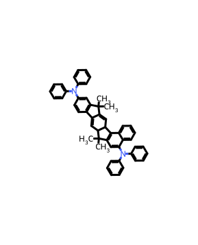 CC1(C)C2=CC3c4c(cc(N(c5ccccc5)c5ccccc5)c5ccccc45)C(C)(C)C3C=C2c2ccc(N(c3ccccc3)c3ccccc3)cc21